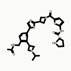 CC(=O)NCc1ccc(-c2cnc(C3CN(C(=O)c4ccc(NC(=O)[C@@H]5CCCN5)s4)C3)s2)cc1C1CN(C(C)C)C1